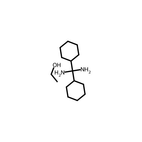 CCO.NC(N)(C1CCCCC1)C1CCCCC1